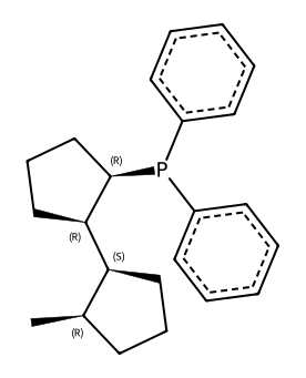 C[C@@H]1CCC[C@@H]1[C@H]1CCC[C@H]1P(c1ccccc1)c1ccccc1